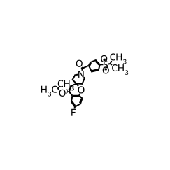 CC(C)O[C@@H]1CC2(CCN(C(=O)c3ccc(S(=O)(=O)C(C)C)cc3)CC2)Oc2ccc(F)cc21